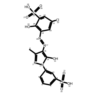 Cc1nn(-c2cccc(S(=O)(=O)O)c2)c(O)c1/N=N/c1cc(Cl)cc(S(=O)(=O)O)c1O